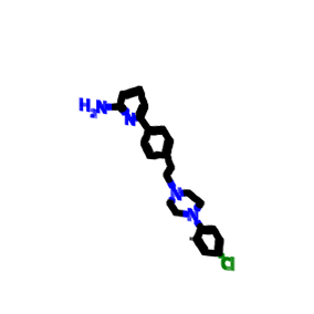 Nc1cccc(-c2ccc(CCN3CCN(c4[c]cc(Cl)cc4)CC3)cc2)n1